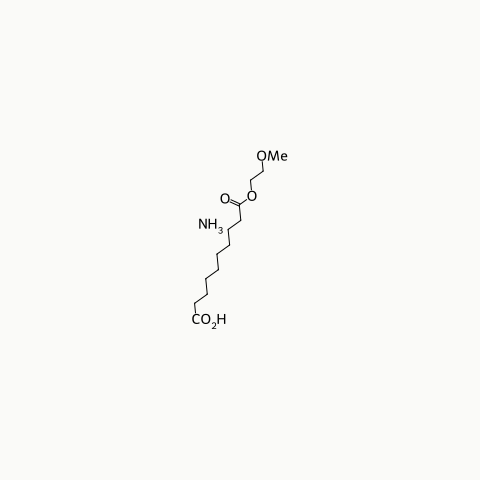 COCCOC(=O)CCCCCCCCC(=O)O.N